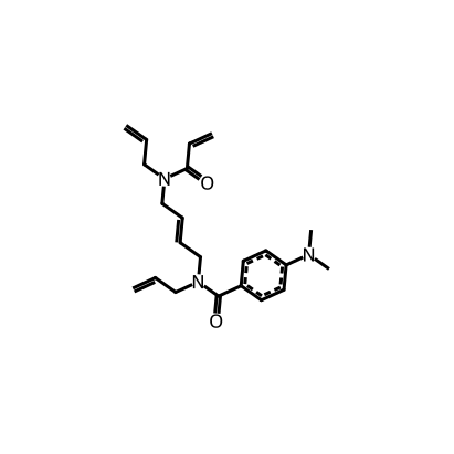 C=CCN(C/C=C/CN(CC=C)C(=O)c1ccc(N(C)C)cc1)C(=O)C=C